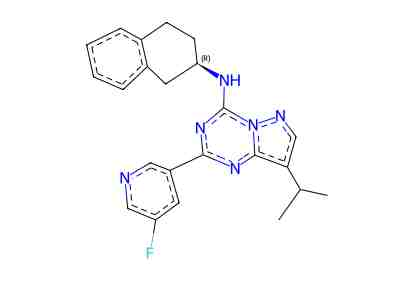 CC(C)c1cnn2c(N[C@@H]3CCc4ccccc4C3)nc(-c3cncc(F)c3)nc12